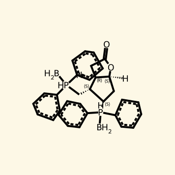 B[PH](C[C@@H]1[C@H]2CC(=O)O[C@H]2C[C@@H]1[PH](B)(c1ccccc1)c1ccccc1)(c1ccccc1)c1ccccc1